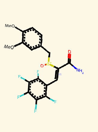 COc1ccc(C[S+]([O-])/C(=C\c2c(F)c(F)c(F)c(F)c2F)C(N)=O)cc1OC